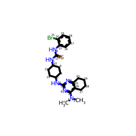 CN(C)c1nc(NC2CCC(NC(=S)Nc3ccccc3Br)CC2)nc2c1CCCC2